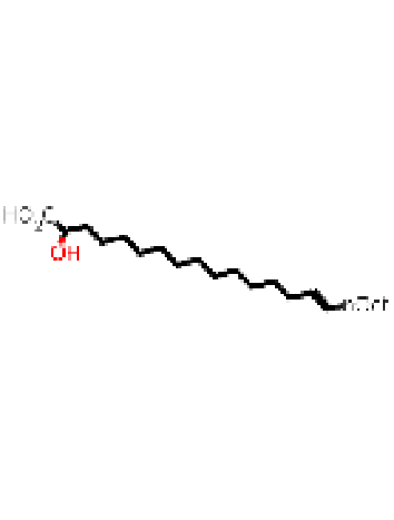 CCCCCCCC/C=C/CCCCCCCCCCCCC(O)C(=O)O